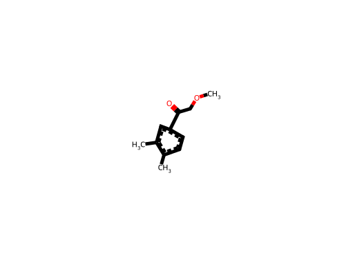 COCC(=O)c1ccc(C)c(C)c1